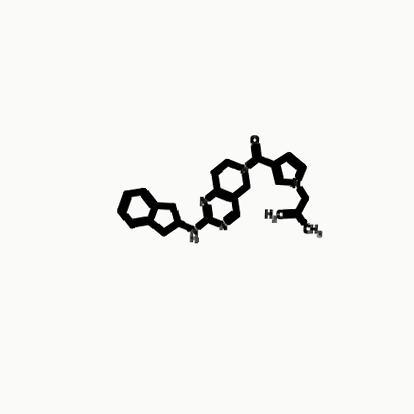 C=C(C)Cn1ccc(C(=O)N2CCc3nc(NC4Cc5ccccc5C4)ncc3C2)c1